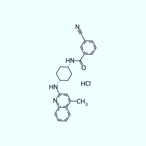 Cc1cc(N[C@H]2CC[C@@H](NC(=O)c3cccc(C#N)c3)CC2)nc2ccccc12.Cl